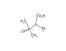 CCC(C(=O)O)P(C)(C)=O